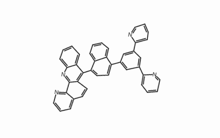 c1ccc(-c2cc(-c3ccccn3)cc(-c3ccc(-c4c5ccccc5nc5c4ccc4cccnc45)c4ccccc34)c2)nc1